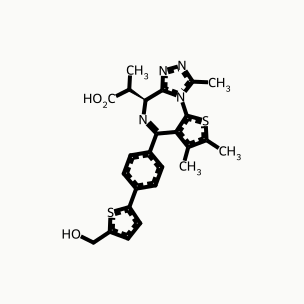 Cc1sc2c(c1C)C(c1ccc(-c3ccc(CO)s3)cc1)=N[C@@H](C(C)C(=O)O)c1nnc(C)n1-2